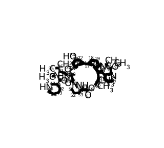 CCn1c(-c2cccnc2[C@H](C)OC)c2c3cc(ccc31)-c1cc(O)cc(c1)C[C@H](NC(=O)[C@H](C(C)C)N(C)C(=O)[C@H]1CCCCNC1)C(=O)N1CCC[C@H](N1)C(=O)OCC(C)(C)C2